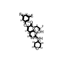 C[C@H](O)Cn1c(=O)c(Oc2cc(F)cc(F)c2)cc2cnc(NC3CCOCC3)nc21